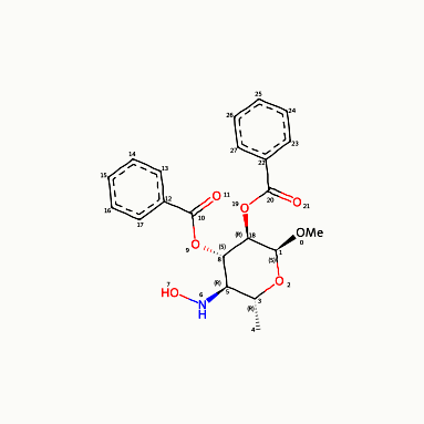 CO[C@H]1O[C@H](C)[C@@H](NO)[C@H](OC(=O)c2ccccc2)[C@H]1OC(=O)c1ccccc1